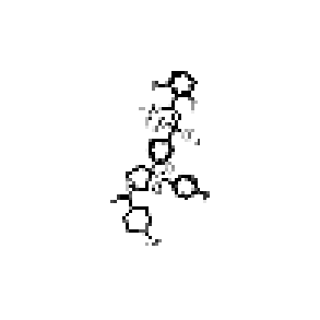 CC(=O)N1CCC(C(=O)N2CC[C@](c3ccc(C(OC(C)c4c(F)cccc4F)(C(F)(F)F)C(F)(F)F)cc3)(S(=O)(=O)c3ccc(F)cc3)C2)CC1